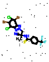 CC(C#N)(Cn1nc2c(Cl)c(Br)c(Cl)c(Br)c2n1)NC(=S)c1ccc(C(F)(F)F)cc1